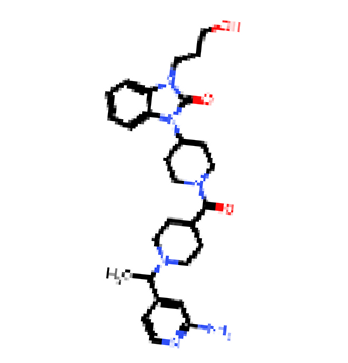 CC(c1ccnc(N)c1)N1CCC(C(=O)N2CCC(n3c(=O)n(CCCO)c4ccccc43)CC2)CC1